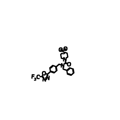 O=C(N1CCS(=O)(=O)CC1)N(Cc1ccccc1)Cc1ccc(-c2nnc(C(F)(F)F)o2)cc1